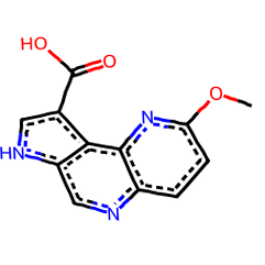 COc1ccc2ncc3[nH]cc(C(=O)O)c3c2n1